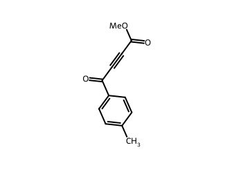 COC(=O)C#CC(=O)c1ccc(C)cc1